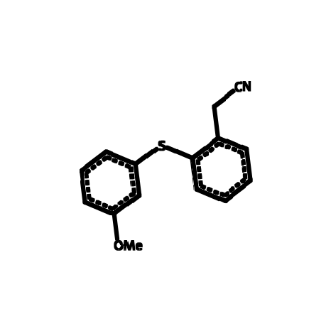 COc1cccc(Sc2ccccc2CC#N)c1